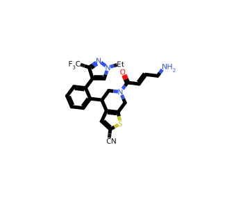 CCn1cc(-c2ccccc2C2CN(C(=O)/C=C/CN)Cc3sc(C#N)cc32)c(C(F)(F)F)n1